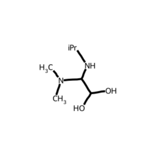 CC(C)NC(C(O)O)N(C)C